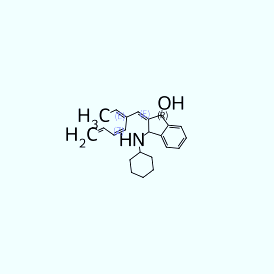 C=C\C=C/C(=C\C)/C=C1\C(NC2CCCCC2)c2ccccc2[C@H]1O